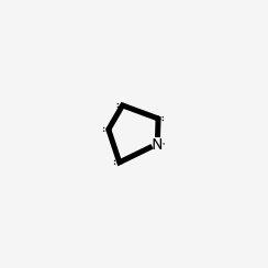 [C]1[C][C][N][C]1